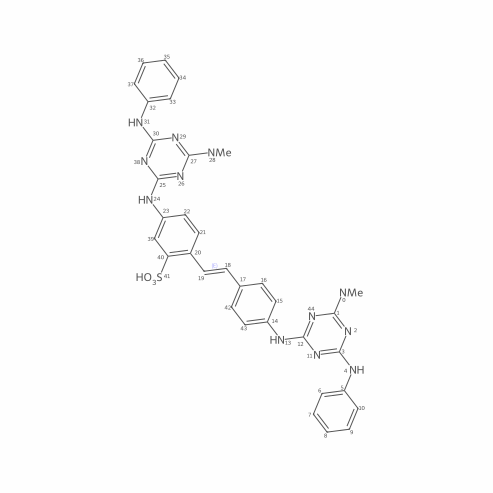 CNc1nc(Nc2ccccc2)nc(Nc2ccc(/C=C/c3ccc(Nc4nc(NC)nc(Nc5ccccc5)n4)cc3S(=O)(=O)O)cc2)n1